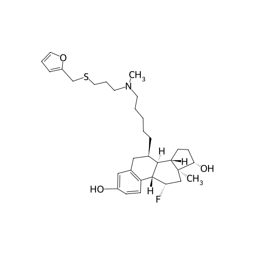 CN(CCCCC[C@@H]1Cc2cc(O)ccc2[C@@H]2[C@@H]1[C@@H]1CC[C@H](O)[C@@]1(C)C[C@@H]2F)CCCSCc1ccco1